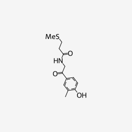 CSCCC(=O)NCC(=O)c1ccc(O)c(C)c1